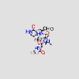 CCCC(C)(NC(=O)CNC(=O)C(C)(C)C)C(=O)N[C@H](C=O)C[C@@H]1CCCNC1=O